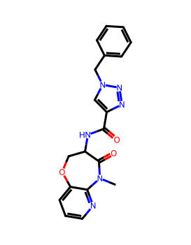 CN1C(=O)C(NC(=O)c2cn(Cc3ccccc3)nn2)COc2cccnc21